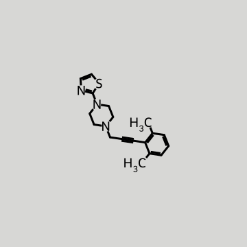 Cc1cccc(C)c1C#CCN1CCN(c2nccs2)CC1